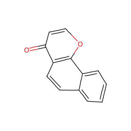 O=c1ccoc2c1ccc1ccccc12